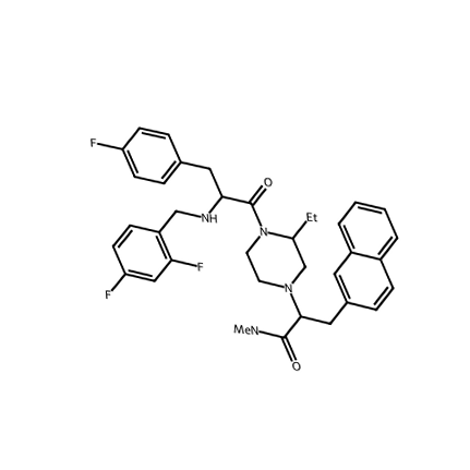 CCC1CN(C(Cc2ccc3ccccc3c2)C(=O)NC)CCN1C(=O)C(Cc1ccc(F)cc1)NCc1ccc(F)cc1F